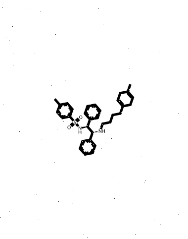 CC1=CCC(CCCCN[C@H](c2ccccc2)[C@@H](NS(=O)(=O)c2ccc(C)cc2)c2ccccc2)=CC1